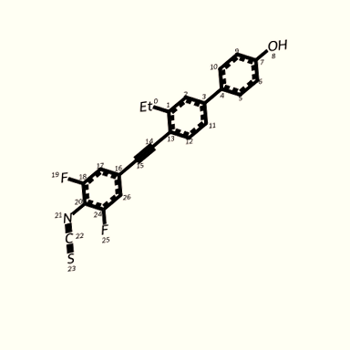 CCc1cc(-c2ccc(O)cc2)ccc1C#Cc1cc(F)c(N=C=S)c(F)c1